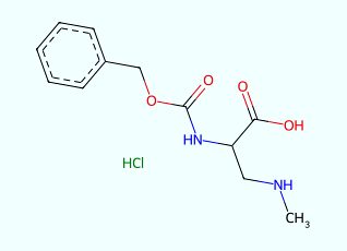 CNCC(NC(=O)OCc1ccccc1)C(=O)O.Cl